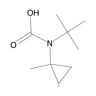 CC(C)(C)N(C(=O)O)C1(C)[CH]C1